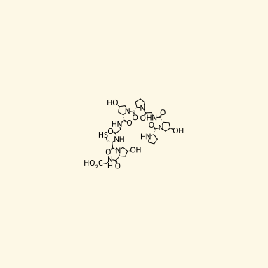 O=C(O)CNC(=O)[C@@H]1C[C@@H](O)CN1C(=O)[C@H](CS)NC(=O)CNC(=O)[C@@H]1C[C@@H](O)CN1C(=O)[C@@H]1CCCN1C(=O)CNC(=O)[C@@H]1C[C@@H](O)CN1C(=O)[C@@H]1CCCN1